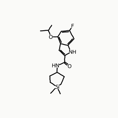 CC(C)Oc1cc(F)cc2[nH]c(C(=O)NC3CC[Si](C)(C)CC3)cc12